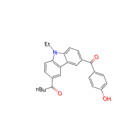 CCCCC(=O)c1ccc2c(c1)c1cc(C(=O)c3ccc(O)cc3)ccc1n2CC